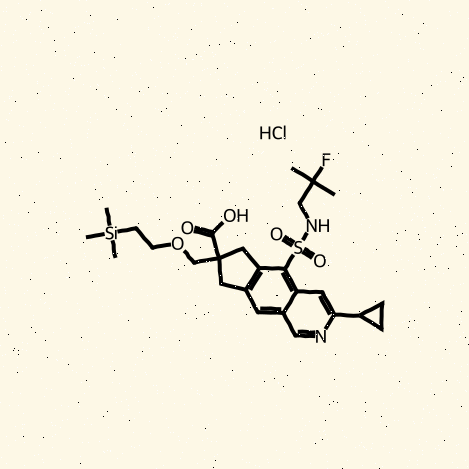 CC(C)(F)CNS(=O)(=O)c1c2c(cc3cnc(C4CC4)cc13)CC(COCC[Si](C)(C)C)(C(=O)O)C2.Cl